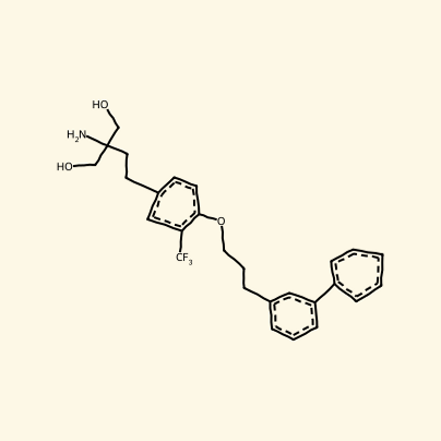 NC(CO)(CO)CCc1ccc(OCCCc2cccc(-c3ccccc3)c2)c(C(F)(F)F)c1